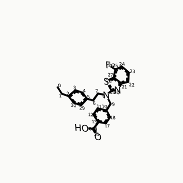 CCc1ccc(CCN(Cc2ccc(C(=O)O)cc2)c2nc3cccc(F)c3s2)cc1